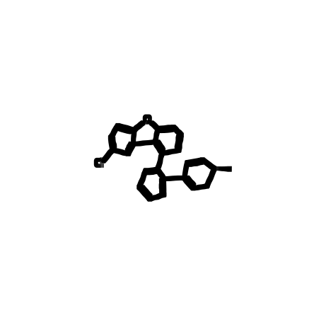 C[C@@H]1C=CC(c2ccccc2-c2cccc3oc4ccc(Cl)cc4c23)=CC1